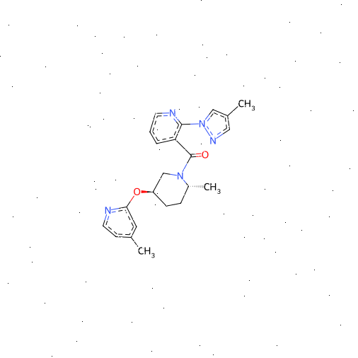 Cc1ccnc(O[C@@H]2CC[C@@H](C)N(C(=O)c3cccnc3-n3cc(C)cn3)C2)c1